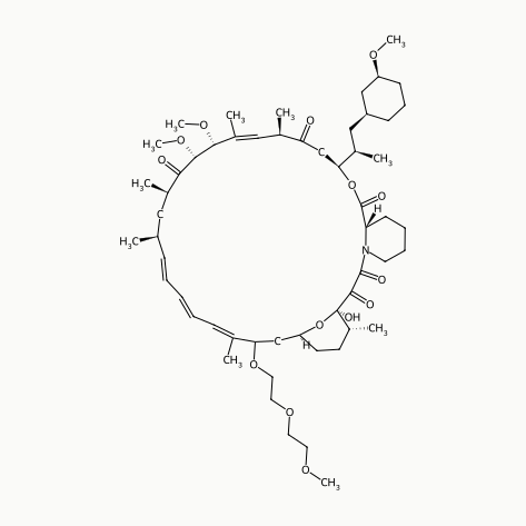 COCCOCCOC1C[C@@H]2CC[C@@H](C)[C@@](O)(O2)C(=O)C(=O)N2CCCC[C@H]2C(=O)O[C@H]([C@H](C)C[C@@H]2CCC[C@H](OC)C2)CC(=O)[C@H](C)/C=C(\C)[C@@H](OC)[C@@H](OC)C(=O)[C@H](C)C[C@H](C)/C=C/C=C/C=C/1C